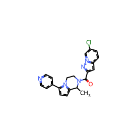 CC1c2ccc(-c3ccncc3)n2CCN1C(=O)c1cc2ccc(Cl)cn2n1